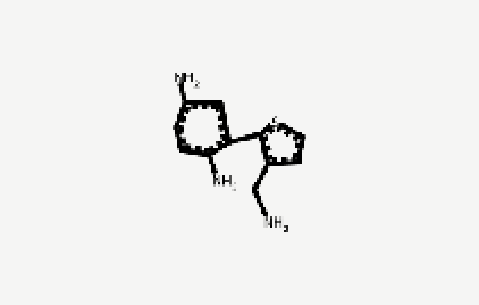 NCc1ccsc1-c1cc(N)ccc1N